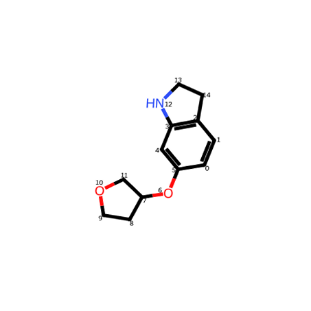 c1cc2c(cc1OC1CCOC1)NCC2